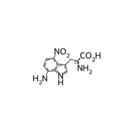 Nc1ccc([N+](=O)[O-])c2c(C[C@H](N)C(=O)O)c[nH]c12